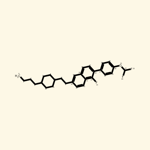 CCCCC1CCC(CCc2ccc3c(F)c(-c4ccc(OC(F)F)cc4)ccc3c2)CC1